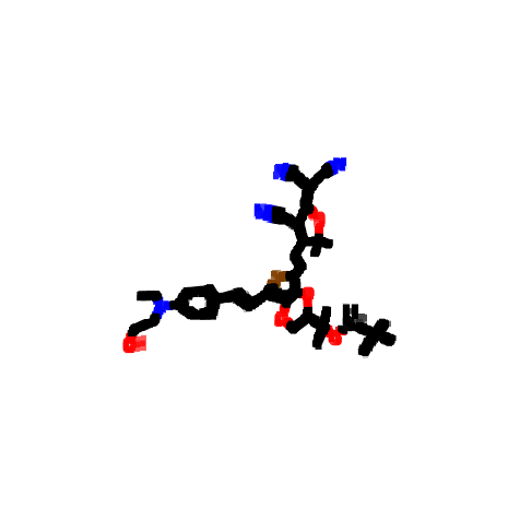 CCN(CCO)c1ccc(C=Cc2sc(C=CC3=C(C#N)C(=C(C#N)C#N)OC3(C)C)c3c2OCC(C(C)(C)O[SiH2]C(C)(C)C)O3)cc1